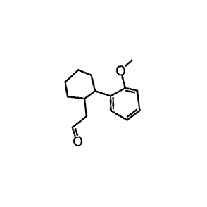 COc1ccccc1C1CCCCC1CC=O